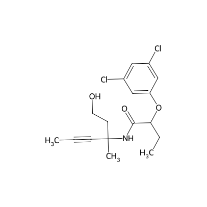 CC#CC(C)(CCO)NC(=O)C(CC)Oc1cc(Cl)cc(Cl)c1